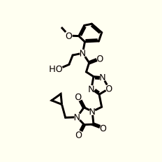 COc1ccccc1N(CCO)C(=O)Cc1noc(CN2C(=O)C(=O)N(CC3CC3)C2=O)n1